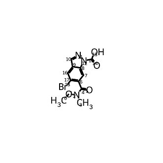 CON(C)C(=O)c1cc2c(cnn2C(=O)O)cc1Br